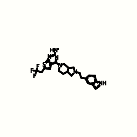 CNc1nc(N2CCC3CN(CCc4ccc5[nH]ccc5c4)CC3C2)c2cc(CC(F)(F)F)sc2n1